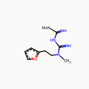 CNC(=N)NC(=N)N(C)CCc1ccco1